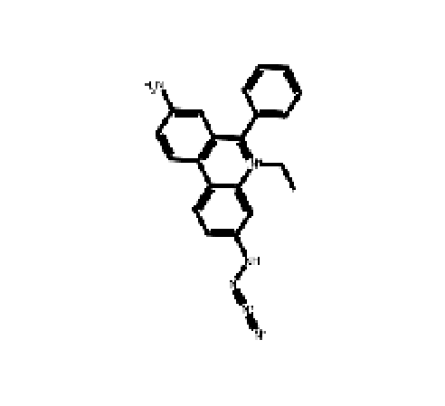 CC[n+]1c(-c2ccccc2)c2cc(N)ccc2c2ccc(NN=[N+]=[N-])cc21